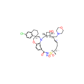 C[C@@H]1[C@@H](C)C/C=C/[C@](CO)(CN2CCOCC2)[C@@H]2CC[C@H]2CN2C[C@@]3(CCCc4cc(Cl)ccc43)COc3ccc(cc32)C(=O)NS1(=O)=O